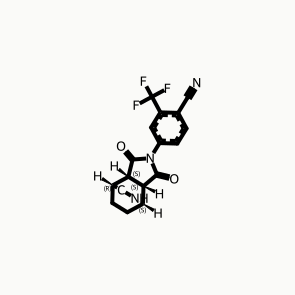 N#Cc1ccc(N2C(=O)[C@H]3[C@H]4CC[C@H](NC4)[C@H]3C2=O)cc1C(F)(F)F